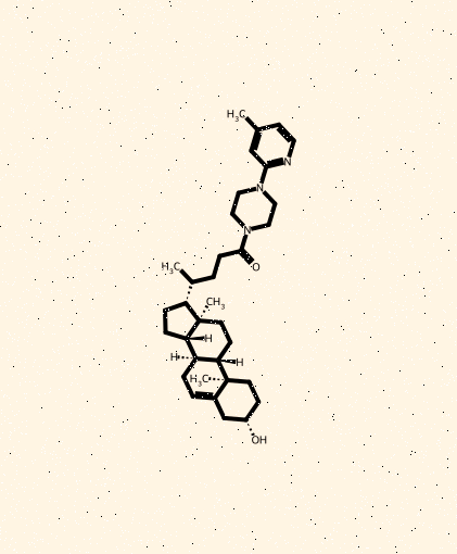 Cc1ccnc(N2CCN(C(=O)CCC(C)[C@H]3CC[C@H]4[C@@H]5CC=C6C[C@@H](O)CC[C@]6(C)[C@H]5CC[C@]34C)CC2)c1